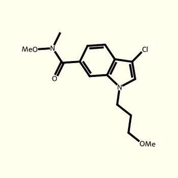 COCCCn1cc(Cl)c2ccc(C(=O)N(C)OC)cc21